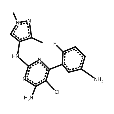 Cc1nn(C)cc1Nc1nc(N)c(Cl)c(-c2cc(N)ccc2F)n1